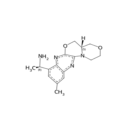 Cc1cc([C@@H](C)N)c2nc3c(nc2c1)N1CCOC[C@H]1CO3